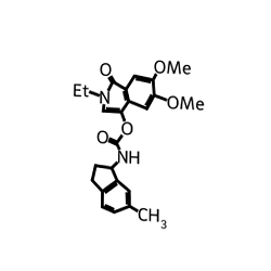 CCn1cc(OC(=O)NC2CCc3ccc(C)cc32)c2cc(OC)c(OC)cc2c1=O